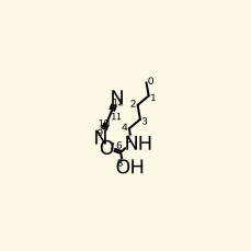 CCCCCNC(=O)O.N#CC#N